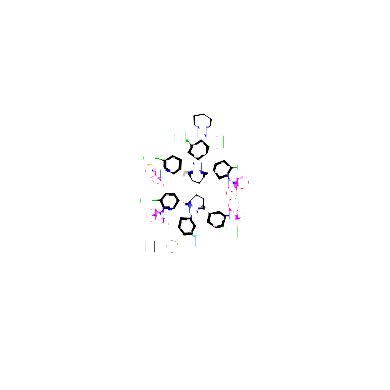 CSc1ccc(N2[C@@H](c3ccc(Cl)c([N+](=O)[O-])c3)CC[C@@H]2c2ccc(Cl)c([N+](=O)[O-])c2)cc1F.O=[N+]([O-])c1cc([C@H]2CC[C@H](c3ccc(Cl)c([N+](=O)[O-])c3)N2c2cc(Cl)c(N3CCCCC3)c(Cl)c2)ccc1Cl